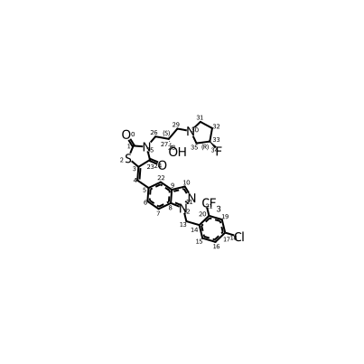 O=C1SC(=Cc2ccc3c(cnn3Cc3ccc(Cl)cc3C(F)(F)F)c2)C(=O)N1C[C@@H](O)CN1CC[C@@H](F)C1